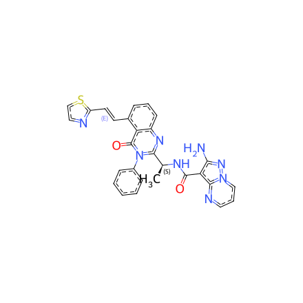 C[C@H](NC(=O)c1c(N)nn2cccnc12)c1nc2cccc(/C=C/c3nccs3)c2c(=O)n1-c1ccccc1